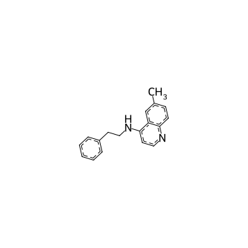 Cc1ccc2nccc(NCCc3ccccc3)c2c1